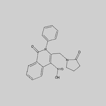 O=C(O)c1c(CN2CCCC2=O)n(-c2ccccc2)c(=O)c2ccccc12